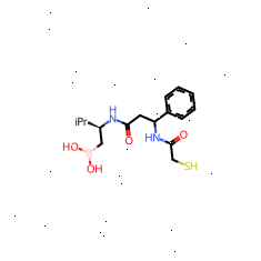 CC(C)[C@H](CB(O)O)NC(=O)CC(NC(=O)CS)c1ccccc1